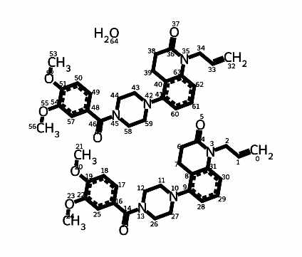 C=CCN1C(=O)CCc2c(N3CCN(C(=O)c4ccc(OC)c(OC)c4)CC3)cccc21.C=CCN1C(=O)CCc2c(N3CCN(C(=O)c4ccc(OC)c(OC)c4)CC3)cccc21.O